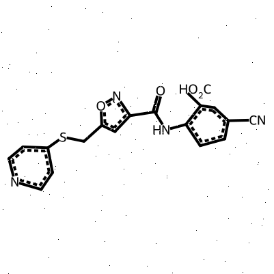 N#Cc1ccc(NC(=O)c2cc(CSc3ccncc3)on2)c(C(=O)O)c1